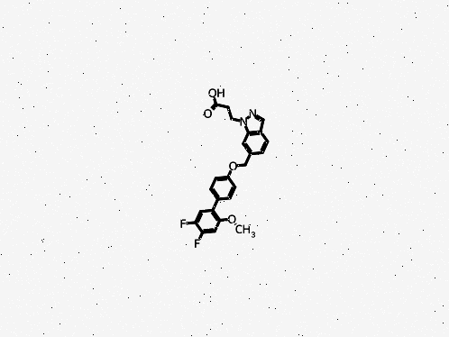 COc1cc(F)c(F)cc1-c1ccc(OCc2ccc3cnn(CCC(=O)O)c3c2)cc1